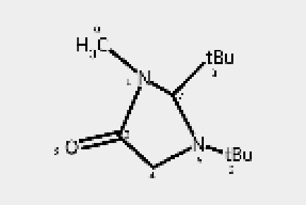 CN1C(=O)CN(C(C)(C)C)C1C(C)(C)C